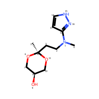 CN(CC[C@]1(C)OC[C@H](O)CO1)c1cc[nH]n1